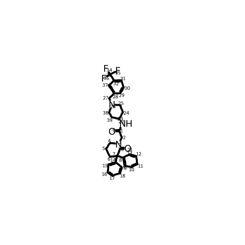 O=C(CN1CCCC(c2ccccc2)(c2ccccc2)C1=O)NC1CCN(Cc2cccc(C(F)(F)F)c2)CC1